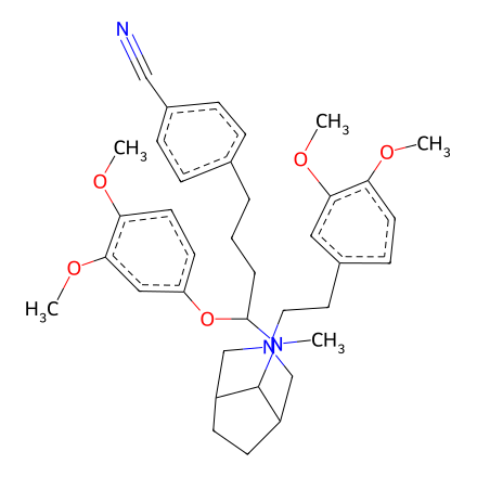 COc1ccc(CCN2CC3CCC(C2)C3N(C)C(CCCc2ccc(C#N)cc2)Oc2ccc(OC)c(OC)c2)cc1OC